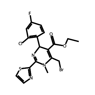 CCOC(=O)C1=C(CBr)N(C)C(c2nccs2)=NC1c1ccc(F)cc1Cl